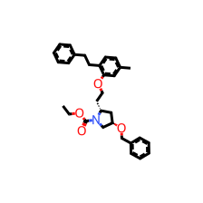 CCOC(=O)N1C[C@H](OCc2ccccc2)C[C@H]1CCOc1cc(C)ccc1CCc1ccccc1